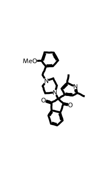 COc1ccccc1CN1CCN(C2(c3cc(C)nc(C)c3)C(=O)c3ccccc3C2=O)CC1